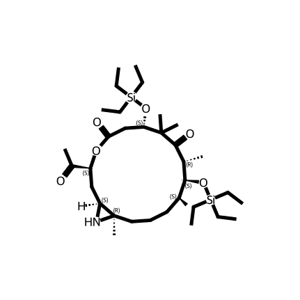 CC[Si](CC)(CC)O[C@H]1[C@@H](C)CCC[C@@]2(C)N[C@H]2C[C@@H](C(C)=O)OC(=O)C[C@H](O[Si](CC)(CC)CC)C(C)(C)C(=O)[C@@H]1C